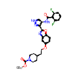 CC(C)(C)OC(=O)N1CCC(CCOc2ccc3oc(-c4n[nH]cc4NC(=O)c4c(F)cccc4F)nc3c2)CC1